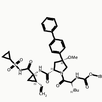 C=C[C@@H]1C[C@@]1(NC(=O)[C@@H]1C[C@@](OC)(c2ccc(-c3ccccc3)cc2)CN1C(=O)C(NC(=O)OC(C)(C)C)[C@@H](C)CC)C(=O)NS(=O)(=O)C1CC1